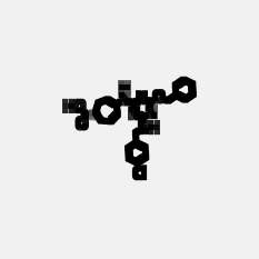 O=C(O)[C@H]1CC=CC(Nc2nc(NCc3ccc(Cl)cc3)nc(OCc3ccccc3)n2)=CC1